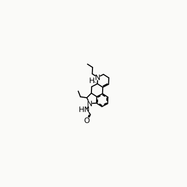 CCCN1CCC=C2c3cccc4c3C(C[C@H]21)C(CC)N4NC=O